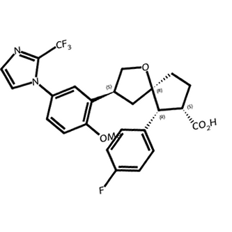 COc1ccc(-n2ccnc2C(F)(F)F)cc1[C@H]1CO[C@]2(CC[C@H](C(=O)O)[C@@H]2c2ccc(F)cc2)C1